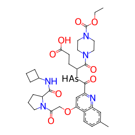 CCOC(=O)N1CCN(C(=O)C(CCC(=O)O)[AsH]C(=O)c2cc(OCC(=O)N3CCCC3C(=O)NC3CCC3)c3ccc(C)cc3n2)CC1